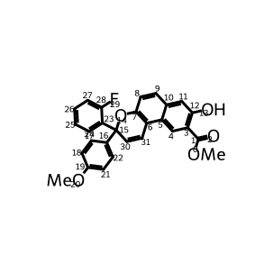 COC(=O)c1cc2c3c(ccc2cc1O)OC(c1ccc(OC)cc1)(c1ccccc1F)C=C3